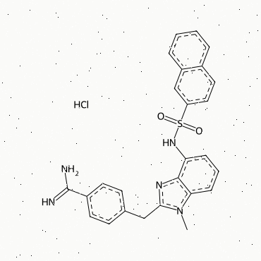 Cl.Cn1c(Cc2ccc(C(=N)N)cc2)nc2c(NS(=O)(=O)c3ccc4ccccc4c3)cccc21